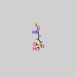 CONCCCS(=O)(=O)O